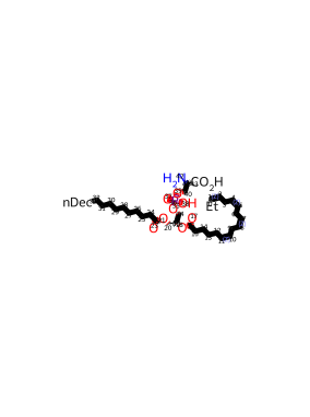 CC/C=C\C/C=C\C/C=C\C/C=C\CCCCC(=O)O[C@H](COC(=O)CCCCCCCCCCCCCCCCCCC)COP(=O)(O)OC[C@H](N)C(=O)O